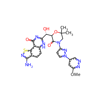 COc1cc(-n2ccc(N3CC(C)(C)OC([C@@H](O)c4nc(=O)c5c(ccc6c(N)nsc65)[nH]4)C3=O)n2)cnn1